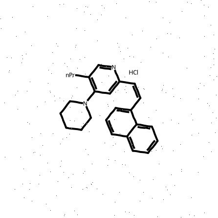 CCCc1cnc(/C=C\c2cccc3ccccc23)cc1N1CCCCC1.Cl